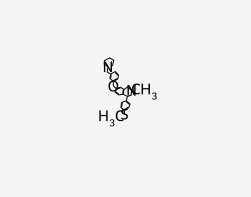 CSc1ccc(C2CN(C)Cc3cc(Oc4cccc(CN5CCCCC5)c4)ccc32)cc1